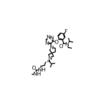 CCN(C(=O)c1cc(F)ccc1Oc1nncnc1N1CCC2(C1)CN([C@@H](CCCNC(=O)NC)C(C)C)C2)C(C)C